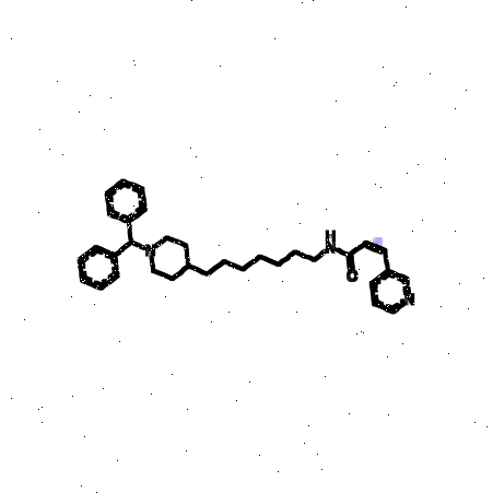 O=C(/C=C\c1cccnc1)NCCCCCCCC1CCN(C(c2ccccc2)c2ccccc2)CC1